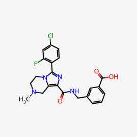 CN1CCn2c(-c3ccc(Cl)cc3F)nc(C(=O)NCc3cccc(C(=O)O)c3)c2C1